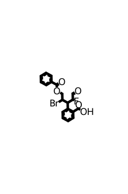 O=CC(F)C(c1ccccc1C(=O)O)C(Br)COC(=O)c1ccccc1